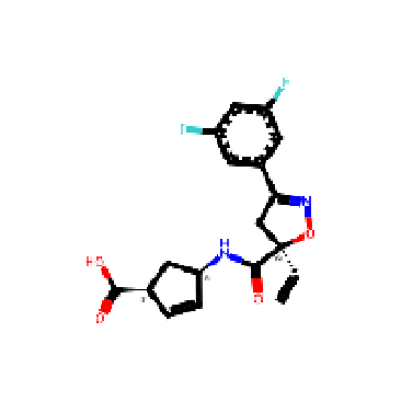 C=C[C@]1(C(=O)N[C@H]2C=C[C@@H](C(=O)O)C2)CC(c2cc(F)cc(F)c2)=NO1